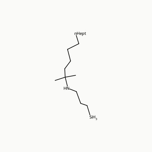 CCCCCCCCCCCC(C)(C)NCCC[SiH3]